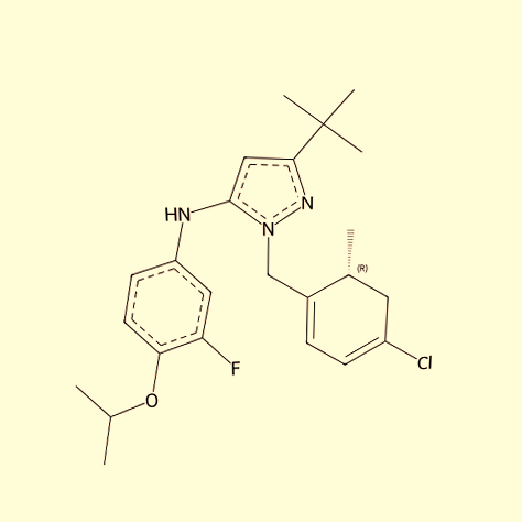 CC(C)Oc1ccc(Nc2cc(C(C)(C)C)nn2CC2=CC=C(Cl)C[C@H]2C)cc1F